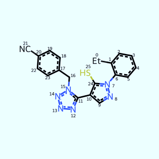 CCc1ccccc1-n1ncc(-c2nnnn2Cc2ccc(C#N)cc2)c1S